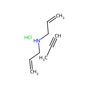 C#CC.C=CCNCC=C.Cl